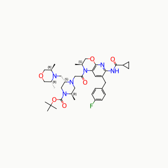 C[C@@H]1CN(CC(=O)N2c3cc(Cc4ccc(F)cc4)c(NC(=O)C4CC4)nc3OC[C@@H]2C)[C@@H](CN2[C@H](C)COC[C@H]2C)CN1C(=O)OC(C)(C)C